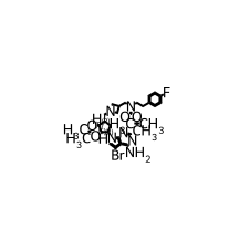 CC(C)(C)OC(=O)N(CCc1ccc(F)cc1)CC1CN(C[C@H]2C[C@@H](n3cc(Br)c4c(N)ncnc43)[C@@H]3OC(C)(C)O[C@H]23)C1